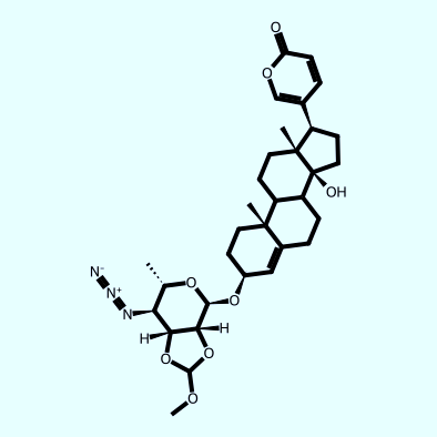 COC1O[C@@H]2[C@@H](N=[N+]=[N-])[C@H](C)O[C@@H](O[C@@H]3C=C4CCC5C(CC[C@]6(C)[C@@H](c7ccc(=O)oc7)CC[C@]56O)[C@@]4(C)CC3)[C@@H]2O1